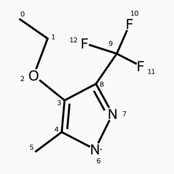 CCOC1=C(C)[N]N=C1C(F)(F)F